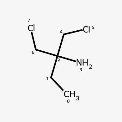 CCC(N)(CCl)CCl